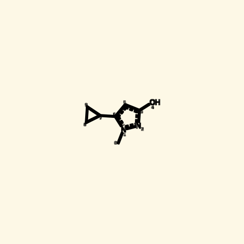 Cn1nc(O)cc1C1CC1